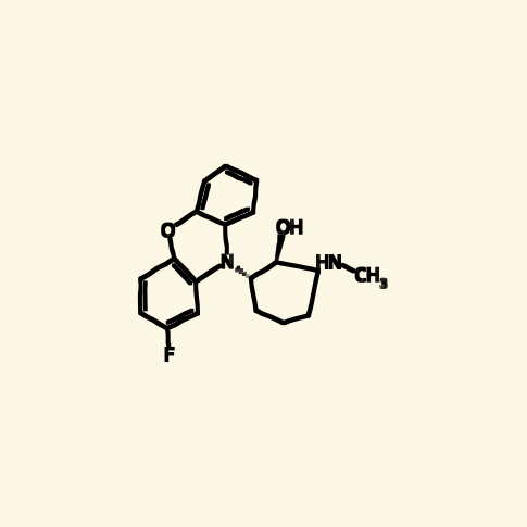 CN[C@@H]1CCC[C@H](N2c3ccccc3Oc3ccc(F)cc32)[C@H]1O